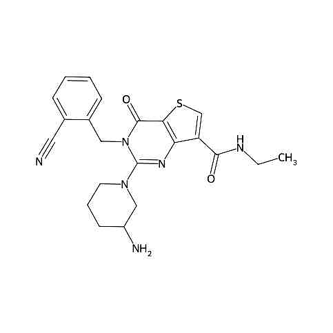 CCNC(=O)c1csc2c(=O)n(Cc3ccccc3C#N)c(N3CCCC(N)C3)nc12